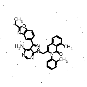 CCc1nc2cc(-c3nn(Cc4cc5cccc(C)c5c(=O)n4-c4ccccc4C)c4ncnc(N)c34)ccc2o1